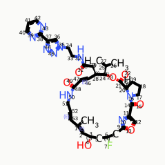 CC1=C\[C@@H](O)C[C@@H](F)Cc2nc(co2)C(=O)N2CCC[C@@H]2C(=O)O[C@H](C(C)C)[C@H](CC(=O)NCCn2cc(-c3ncccn3)nn2)/C=C/C(=O)NC\C=C\1